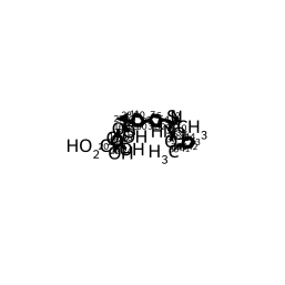 Cc1nsc(-c2ccc(-c3ccc(C4(C(=O)OC5OC(C(=O)O)C(O)C(O)C5O)CC4)cc3)cc2)c1NC(=O)O[C@H](C)c1ccccc1